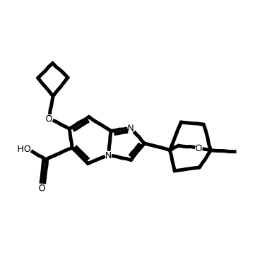 CC12CCC(c3cn4cc(C(=O)O)c(OC5CCC5)cc4n3)(CC1)CO2